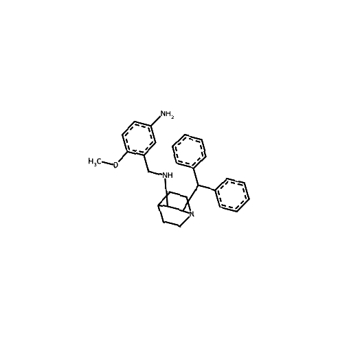 COc1ccc(N)cc1CNC1C2CCN(CC2)C1C(c1ccccc1)c1ccccc1